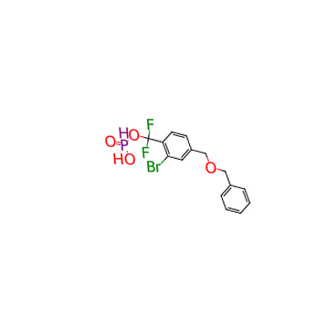 O=[PH](O)OC(F)(F)c1ccc(COCc2ccccc2)cc1Br